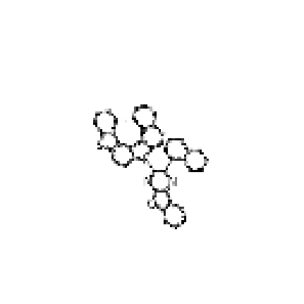 c1ccc2c(-c3nc4c(nc3-n3c5ccc6cccc7c6c5c5c6c(ccc53)sc3cccc-7c36)oc3ccccc34)cccc2c1